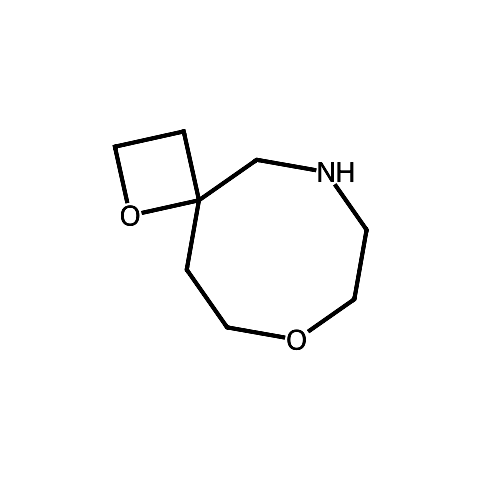 C1COCCC2(CCO2)CN1